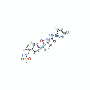 CS(=O)(=O)NCC1(c2ccc(N3CCC[C@@H](NC(=O)Nc4ncc(Cl)cc4F)C3=O)cc2F)CC1